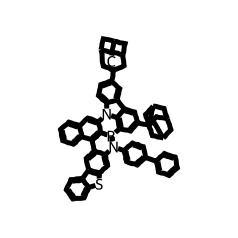 c1ccc(-c2ccc(N3B4c5c(cc6ccccc6c5-c5cc6c(cc53)sc3ccccc36)-n3c5ccc(C67CC8CC9CC(C6)C98C7)cc5c5cc(C67CC8CC(CC(C8)C6)C7)cc4c53)cc2)cc1